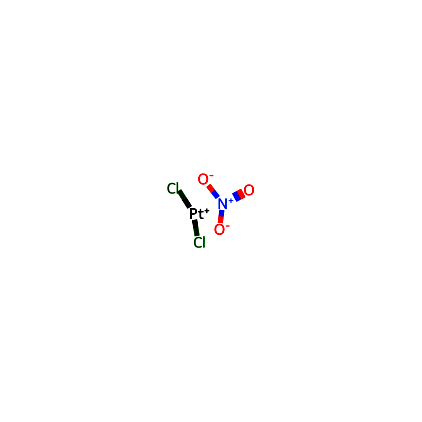 O=[N+]([O-])[O-].[Cl][Pt+][Cl]